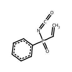 C=CP(=O)(N=C=O)c1ccccc1